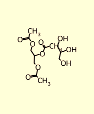 CC(=O)OCC(COC(C)=O)OC(C)=O.OCC(O)CO